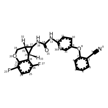 N#Cc1ccccc1Oc1ccc(NC(=O)NC2[C@H]3COc4c(F)ccc(F)c4[C@@H]23)nc1